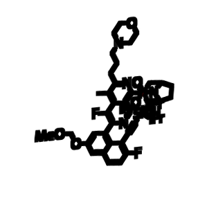 COCOc1cc(-c2ncc3c(N4CC5CCC(C4)N5C(=O)OC(C)(C)C)nc(CCCN4CCOCC4)c(C)c3c2F)c2c(C#C[Si](C(C)C)(C(C)C)C(C)C)c(F)ccc2c1